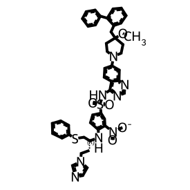 COC1(Cc2ccccc2-c2ccccc2)CCN(c2ccc3c(NS(=O)(=O)c4ccc(N[C@H](CCn5ccnc5)CSc5ccccc5)c([N+](=O)[O-])c4)ncnc3c2)CC1